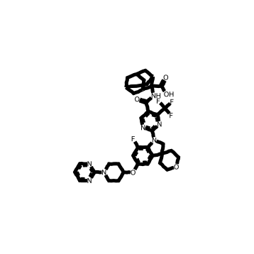 O=C(NC1(C(=O)O)C2CC3CC(C2)CC1C3)c1cnc(N2CC3(CCOCC3)c3cc(OC4CCN(c5ncccn5)CC4)cc(F)c32)nc1C(F)(F)F